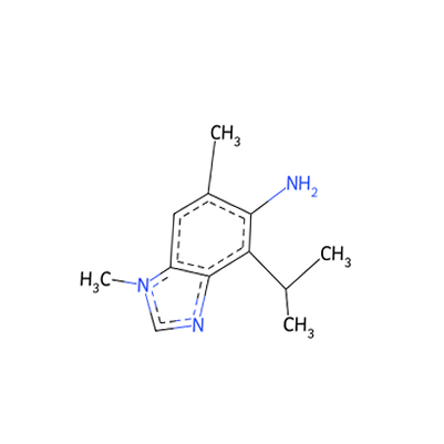 Cc1cc2c(ncn2C)c(C(C)C)c1N